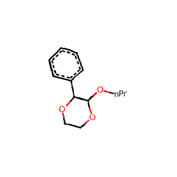 CCCOC1OCCO[C]1c1ccccc1